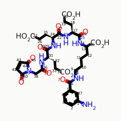 Nc1cccc(C(=O)NCCCCC(NC(=O)[C@H](CCC(=O)O)NC(=O)[C@H](CCC(=O)O)NC(=O)[C@H](CCC(=O)O)NC(=O)CN2C(=O)C=CC2=O)C(=O)O)c1